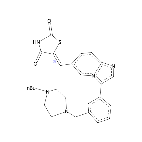 CCCCN1CCN(Cc2cccc(-c3cnc4ccc(/C=C5\SC(=O)NC5=O)cn34)c2)CC1